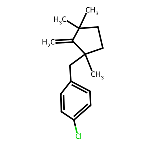 C=C1C(C)(C)CCC1(C)Cc1ccc(Cl)cc1